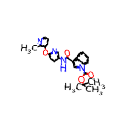 Cc1ncccc1Oc1ccc(NC(=O)c2cn(C(=O)OC(C)(C)C)c3ccccc23)cn1